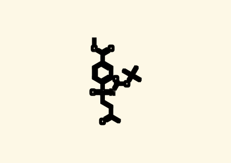 COC(=O)c1ccc(S(=O)(CCC(C)=O)=NC(=O)OC(C)(C)C)cc1